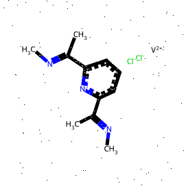 CN=C(C)c1cccc(C(C)=NC)n1.[Cl-].[Cl-].[V+2]